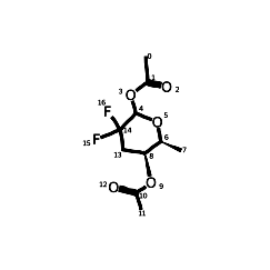 CC(=O)OC1O[C@@H](C)[C@@H](OC(C)=O)CC1(F)F